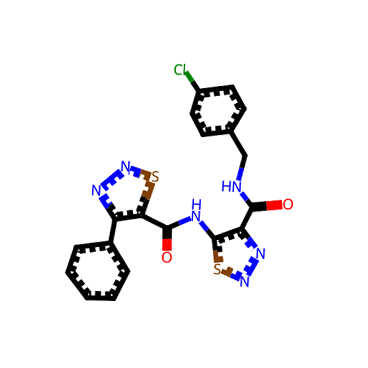 O=C(NCc1ccc(Cl)cc1)c1nnsc1NC(=O)c1snnc1-c1ccccc1